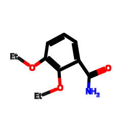 CCOc1cccc(C(N)=O)c1OCC